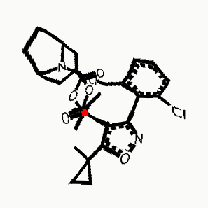 CC(C)(C)OC(=O)N1C2CCC1CC(OC(=O)c1c(-c3c(Cl)cccc3Cl)noc1C1(C)CC1)C2